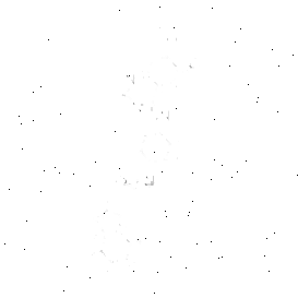 COc1cc2ncnc(Nc3ccc4c(c3)CCN4C(=O)Cc3csc4ccccc34)c2cc1OC